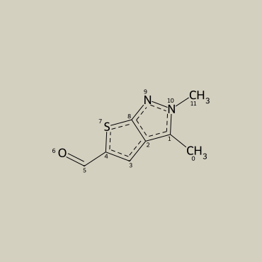 Cc1c2cc(C=O)sc2nn1C